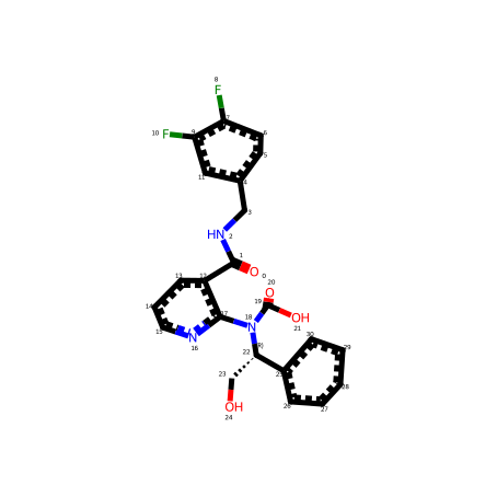 O=C(NCc1ccc(F)c(F)c1)c1cccnc1N(C(=O)O)[C@@H](CO)c1ccccc1